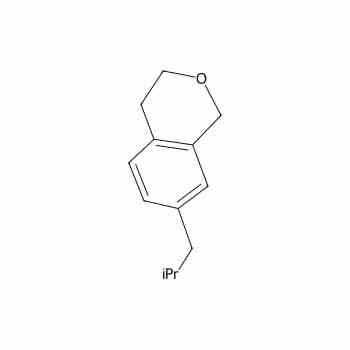 CC(C)Cc1ccc2c(c1)COCC2